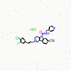 Cl.N#Cc1ccc2c3c(n(C(=O)NCc4ccncc4)c2c1)CCN(C/C=C/c1ccc(Cl)c(F)c1)C3